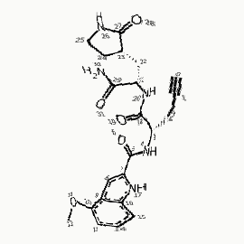 C#CC[C@H](NC(=O)c1cc2c(OC)cccc2[nH]1)C(=O)N[C@@H](C[C@@H]1CCNC1=O)C(N)=O